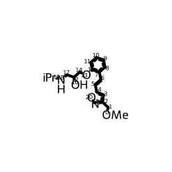 COCc1cc(C=Cc2ccccc2OCC(O)CNC(C)C)on1